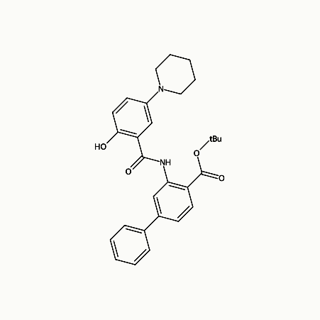 CC(C)(C)OC(=O)c1ccc(-c2ccccc2)cc1NC(=O)c1cc(N2CCCCC2)ccc1O